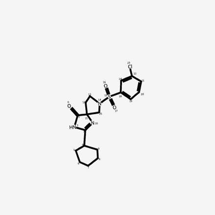 O=C1NC(C2CCCCC2)=NC12CCN(S(=O)(=O)c1cccc(Cl)c1)C2